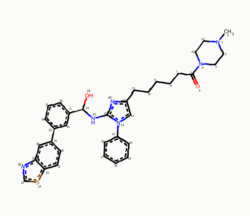 CN1CCN(C(=O)CCCCCc2cn(-c3ccccc3)c(NC(O)c3cccc(-c4ccc5scnc5c4)c3)n2)CC1